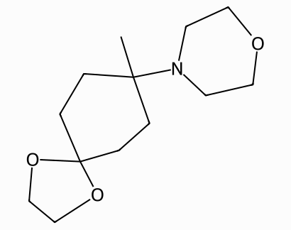 CC1(N2CCOCC2)CCC2(CC1)OCCO2